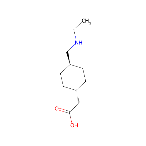 CCNC[C@H]1CC[C@H](CC(=O)O)CC1